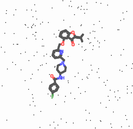 CC(C)=C1Oc2cccc(OCc3cccc(CN4CCC(NC(=O)c5ccc(F)cc5)CC4)n3)c2C1=O